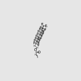 C=CC(=O)OCCC(F)(F)C(F)(F)C(F)(F)C(F)(F)C(F)(F)C(F)(F)C(F)(F)C(F)(F)C(F)F